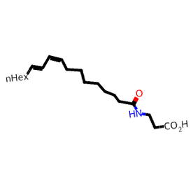 CCCCCC/C=C/C=C\CCCCCCCC(=O)NCCC(=O)O